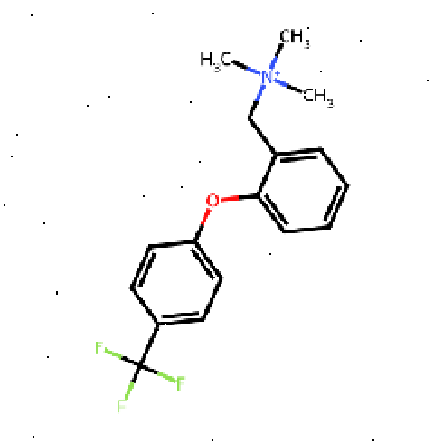 C[N+](C)(C)Cc1ccccc1Oc1ccc(C(F)(F)F)cc1